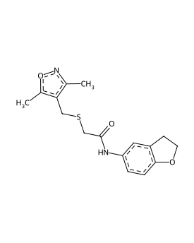 Cc1noc(C)c1CSCC(=O)Nc1ccc2c(c1)CCO2